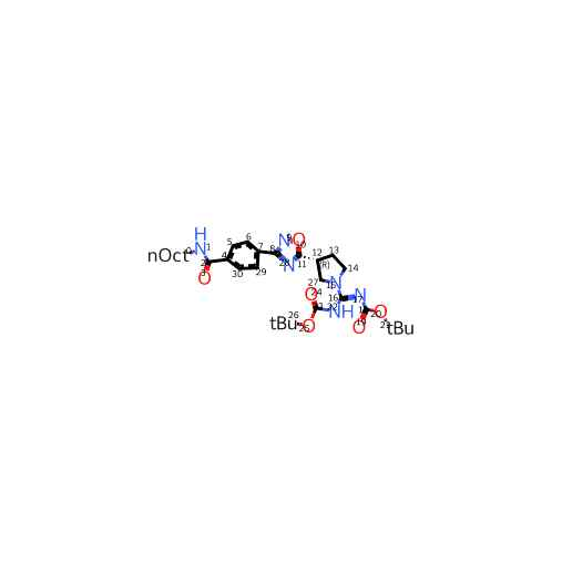 CCCCCCCCNC(=O)c1ccc(-c2noc([C@@H]3CCN(C(=NC(=O)OC(C)(C)C)NC(=O)OC(C)(C)C)C3)n2)cc1